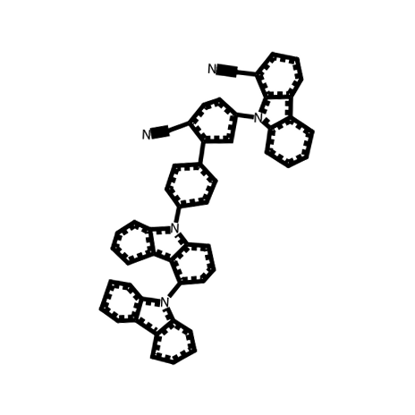 N#Cc1ccc(-n2c3ccccc3c3cccc(C#N)c32)cc1-c1ccc(-n2c3ccccc3c3c(-n4c5ccccc5c5ccccc54)cccc32)cc1